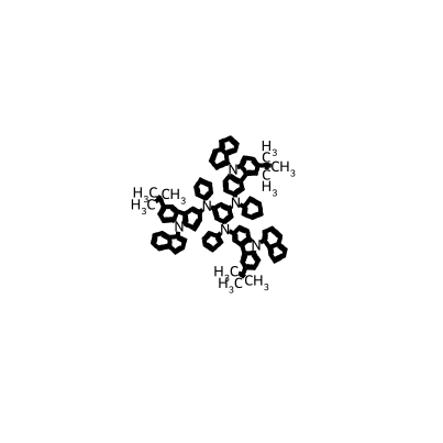 CC(C)(C)c1ccc2c(c1)c1cc(N(c3ccccc3)c3cc(N(c4ccccc4)c4ccc5c(c4)c4cc(C(C)(C)C)ccc4n5-c4cccc5ccccc45)cc(N(c4ccccc4)c4ccc5c(c4)c4cc(C(C)(C)C)ccc4n5-c4cccc5ccccc45)c3)ccc1n2-c1cccc2ccccc12